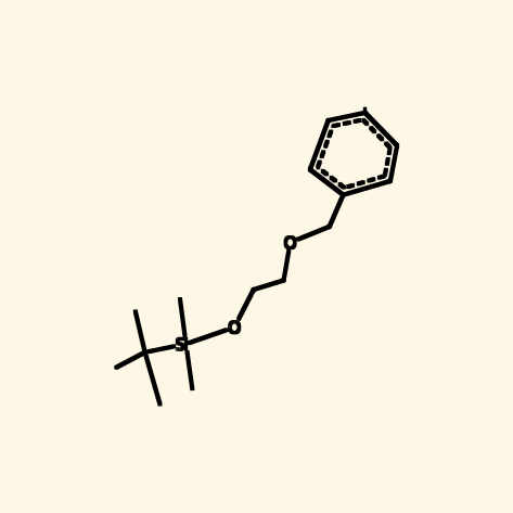 CC(C)(C)[Si](C)(C)OCCOCc1cc[c]cc1